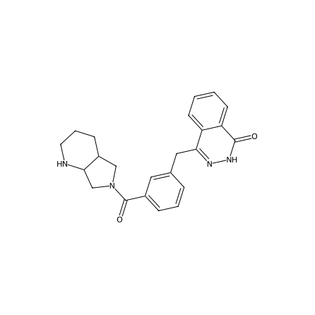 O=C(c1cccc(Cc2n[nH]c(=O)c3ccccc23)c1)N1CC2CCCNC2C1